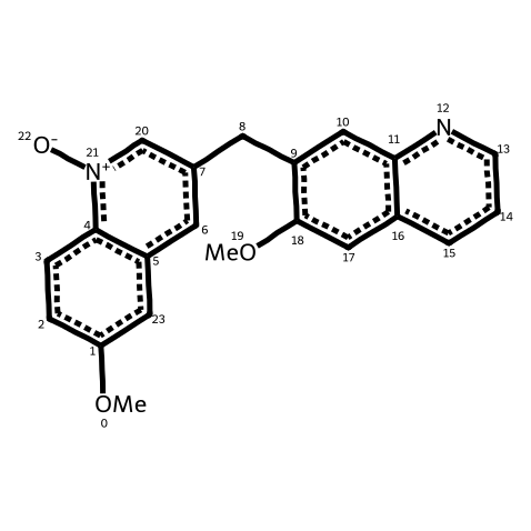 COc1ccc2c(cc(Cc3cc4ncccc4cc3OC)c[n+]2[O-])c1